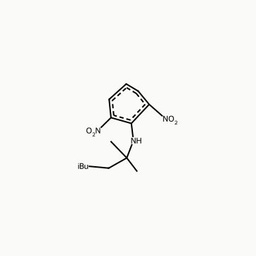 CCC(C)CC(C)(C)Nc1c([N+](=O)[O-])cccc1[N+](=O)[O-]